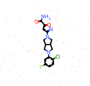 NC(=O)c1cc(N2CC3CN(c4cc(F)ccc4Cl)CC3C2)no1